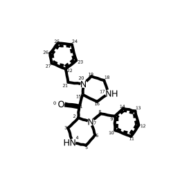 O=C(C1CNCCN1Cc1ccccc1)C1CNCCN1Cc1ccccc1